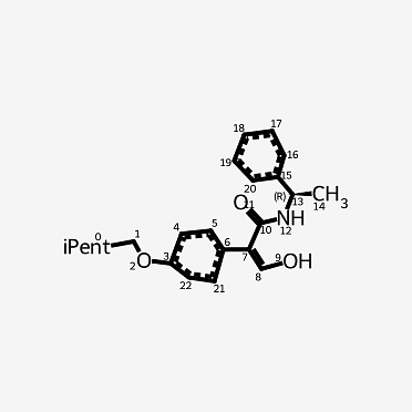 CCCC(C)COc1ccc(C(=CO)C(=O)N[C@H](C)c2ccccc2)cc1